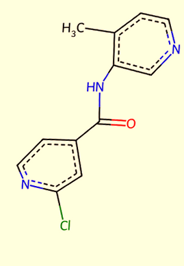 Cc1ccncc1NC(=O)c1ccnc(Cl)c1